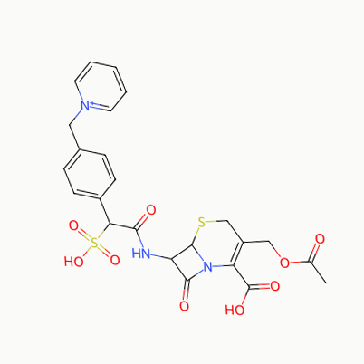 CC(=O)OCC1=C(C(=O)O)N2C(=O)C(NC(=O)C(c3ccc(C[n+]4ccccc4)cc3)S(=O)(=O)O)C2SC1